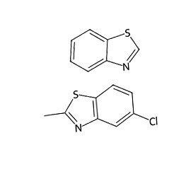 Cc1nc2cc(Cl)ccc2s1.c1ccc2scnc2c1